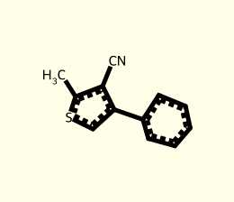 Cc1scc(-c2ccccc2)c1C#N